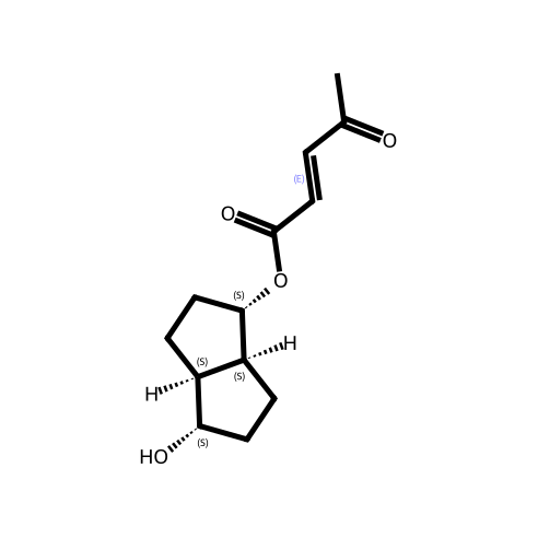 CC(=O)/C=C/C(=O)O[C@H]1CC[C@H]2[C@@H]1CC[C@@H]2O